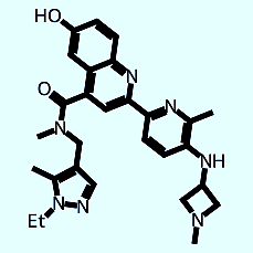 CCn1ncc(CN(C)C(=O)c2cc(-c3ccc(NC4CN(C)C4)c(C)n3)nc3ccc(O)cc23)c1C